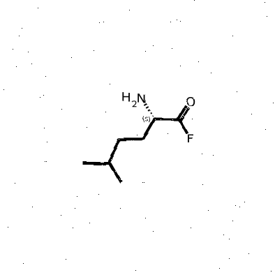 CC(C)CC[C@H](N)C(=O)F